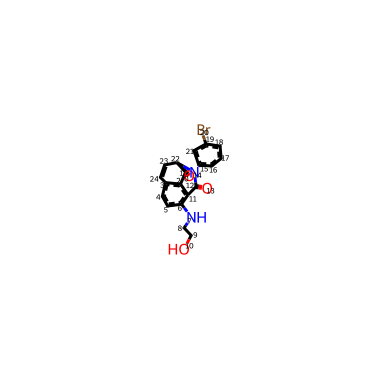 O=C1c2c3ccc(NCCO)c2C(=O)N(c2cccc(Br)c2)C1C=C3